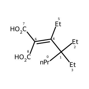 CCCC(CC)(CC)C(CC)=C(C(=O)O)C(=O)O